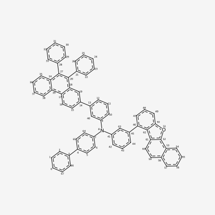 c1ccc(-c2ccc(N(c3cccc(-c4ccc5c(c4)c(-c4ccccc4)c(-c4ccccc4)c4ccccc45)c3)c3cccc(-c4cccc5oc6c7ccccc7ccc6c45)c3)cc2)cc1